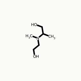 CC(CO)N(C)CCO